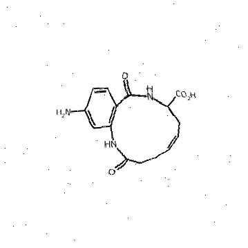 Nc1ccc2c(c1)NC(=O)CC/C=C\CC(C(=O)O)NC2=O